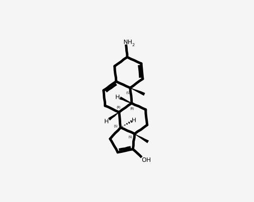 C[C@]12C=CC(N)CC1=CC[C@@H]1[C@H]2CC[C@]2(C)C(O)=CC[C@@H]12